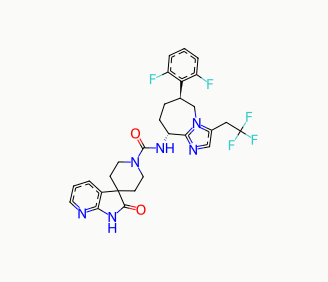 O=C(N[C@@H]1CC[C@@H](c2c(F)cccc2F)Cn2c(CC(F)(F)F)cnc21)N1CCC2(CC1)C(=O)Nc1ncccc12